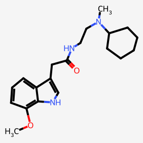 COc1cccc2c(CC(=O)NCCN(C)C3CCCCC3)c[nH]c12